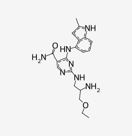 CCOCC(N)CNc1ncc(C(N)=O)c(Nc2cccc3[nH]c(C)cc23)n1